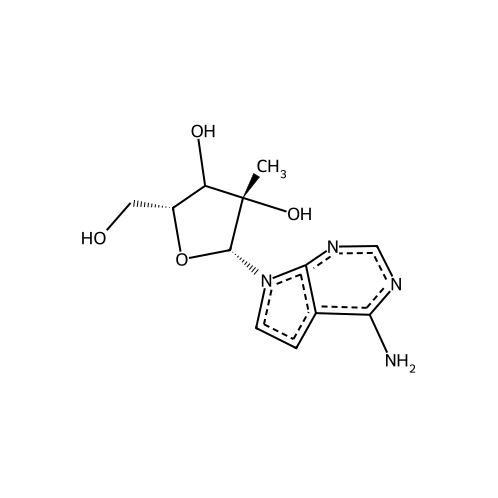 C[C@]1(O)C(O)[C@@H](CO)O[C@H]1n1ccc2c(N)ncnc21